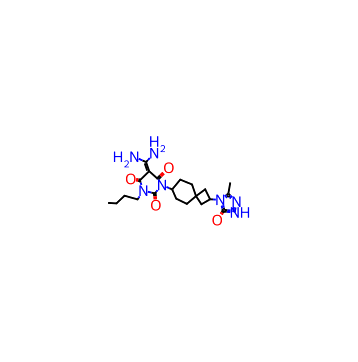 CCCCN1C(=O)C(=C(N)N)C(=O)N(C2CCC3(CC2)CC(n2c(C)n[nH]c2=O)C3)C1=O